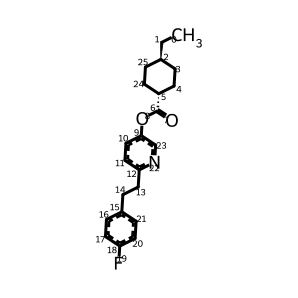 CC[C@H]1CC[C@H](C(=O)Oc2ccc(CCc3ccc(F)cc3)nc2)CC1